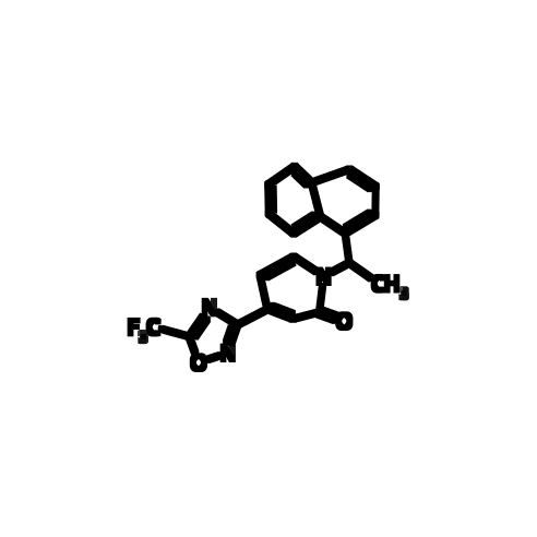 CC(c1cccc2ccccc12)n1ccc(-c2noc(C(F)(F)F)n2)cc1=O